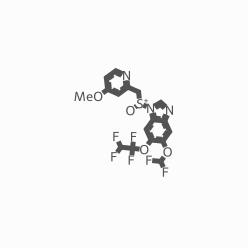 COc1ccnc(C[S+]([O-])n2cnc3cc(OC(F)F)c(OC(F)(F)C(F)F)cc32)c1